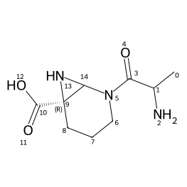 CC(N)C(=O)N1CCC[C@@]2(C(=O)O)NC12